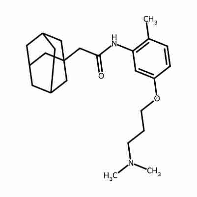 Cc1ccc(OCCCN(C)C)cc1NC(=O)CC12CC3CC(CC(C3)C1)C2